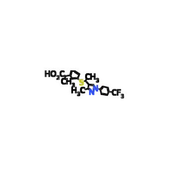 Cc1nn(-c2ccc(C(F)(F)F)cc2)cc1C(C)Sc1cccc(C(C)C(=O)O)c1